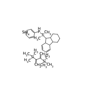 C=C(C(=C)[Si](C)(C)C)[Si](C)(C)C.[CH3][Ti]([CH3])([PH]c1ccccc1)[CH]1C2C=CC=CC2C2CCCCC21.[SiH4]